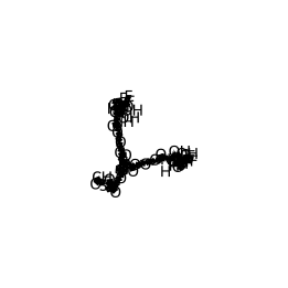 CC(=O)CSC1CC(=O)N(CCOc2ccc3c(c2)c(C(=O)OCCOCCOCC(=O)NC[C@H]2O[C@H]4OCCN(C(=O)C(F)(F)F)[C@H]4[C@@H](O)[C@H]2O)cn3CC(=O)OCCOCCOCC(=O)NC[C@H]2O[C@H]3OCCN(C(=O)C(F)(F)F)[C@H]3[C@@H](O)[C@H]2O)C1=O